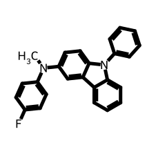 CN(c1ccc(F)cc1)c1ccc2c(c1)c1ccccc1n2-c1ccccc1